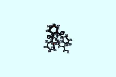 CCCCC(C)(CC)C(P(=O)(c1ccccc1)c1ccccc1)P(=O)(c1ccccc1)c1ccccc1